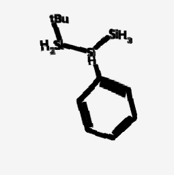 CC(C)(C)[SiH2][SiH]([SiH3])c1ccccc1